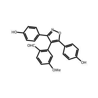 COc1ccc(C=O)c(-c2c(-c3ccc(O)cc3)noc2-c2ccc(O)cc2)c1